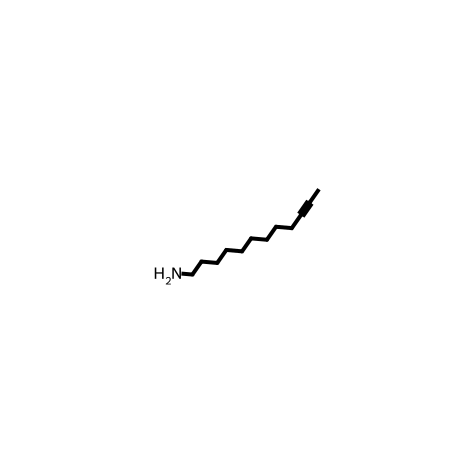 CC#CCCCCCCCCCN